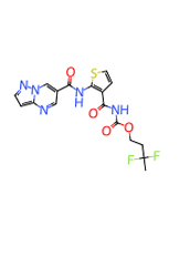 CC(F)(F)CCOC(=O)NC(=O)c1ccsc1NC(=O)c1cnc2ccnn2c1